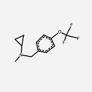 CN(Cc1ccc(OC(F)(F)F)cc1)C1CC1